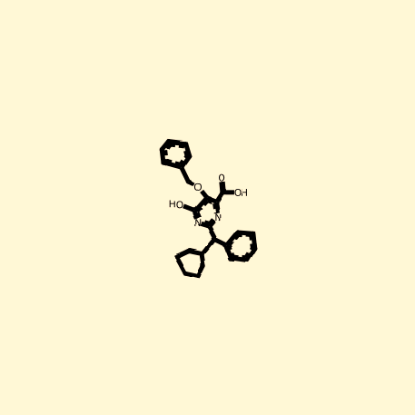 O=C(O)c1nc(C(c2ccccc2)C2CCCCC2)nc(O)c1OCc1ccccc1